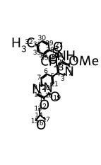 COc1ncc(-c2ccc3ncc(OCC4COC4)c(=O)n3c2)cc1NS(=O)(=O)c1ccc(C)cc1C